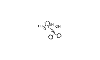 Cl.O=C(O)C1CCCNC1CCON=C(c1ccccc1)c1ccccc1